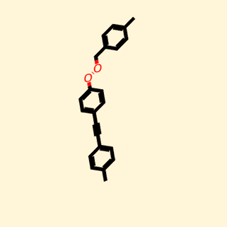 Cc1ccc(C#Cc2ccc(OOCc3ccc(C)cc3)cc2)cc1